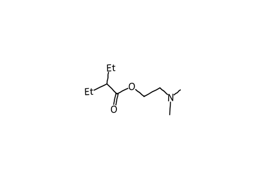 CCC(CC)C(=O)OCCN(C)C